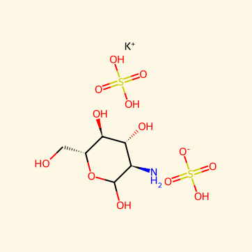 N[C@H]1C(O)O[C@H](CO)[C@@H](O)[C@@H]1O.O=S(=O)(O)O.O=S(=O)([O-])O.[K+]